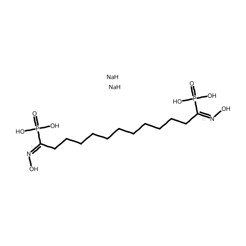 O=P(O)(O)/C(CCCCCCCCCCC/C(=N\O)P(=O)(O)O)=N\O.[NaH].[NaH]